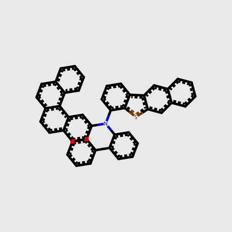 c1ccc(-c2ccccc2N(c2ccc3ccc4ccc5ccccc5c4c3c2)c2cccc3c2sc2cc4ccccc4cc23)cc1